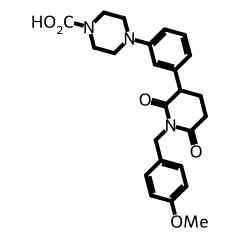 COc1ccc(CN2C(=O)CCC(c3cccc(N4CCN(C(=O)O)CC4)c3)C2=O)cc1